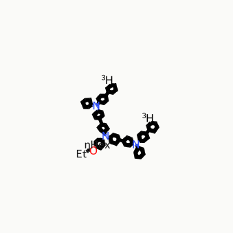 [3H]c1cccc(-c2ccc(N(c3ccccc3)c3ccc(-c4ccc(N(c5ccc(OC(CC)CCCCCC)cc5)c5ccc(-c6ccc(N(c7ccccc7)c7ccc(-c8cccc([3H])c8)cc7)cc6)cc5)cc4)cc3)cc2)c1